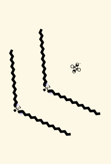 CCCCCCCCCCCCCCCC/C=C/[N+](C)(C)/C=C/CCCCCCCCCCCCCCCC.CCCCCCCCCCCCCCCC/C=C/[N+](C)(C)/C=C/CCCCCCCCCCCCCCCC.O=S(=O)([O-])[O-]